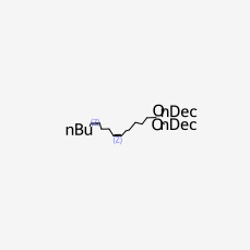 CCCC/C=C\CC/C=C\CCCCCC(OCCCCCCCCCC)OCCCCCCCCCC